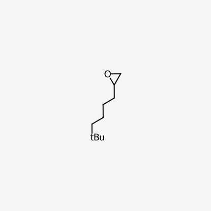 CC(C)(C)CCCCC1CO1